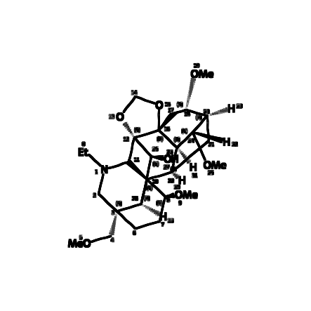 CCN1C[C@]2(COC)CC[C@H](OC)[C@@]34C1[C@]1(OCO[C@@]15C[C@H](OC)[C@H]1C[C@@H]3[C@@H]5[C@H]1OC)[C@@H](O)[C@H]24